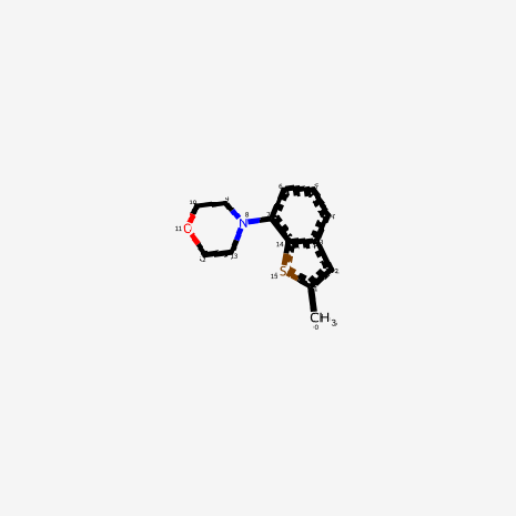 Cc1cc2cccc(N3CCOCC3)c2s1